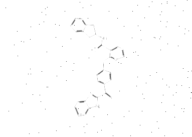 O=C(c1ccc(Oc2ncccc2C(=O)NC2Cc3ccccc3C2)cc1)c1nc2ccccc2[nH]1